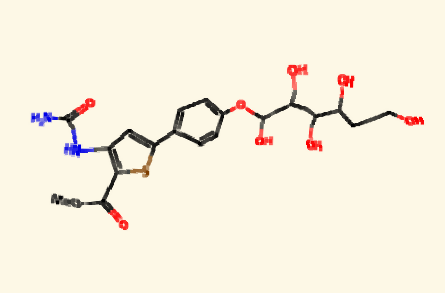 COC(=O)c1sc(-c2ccc(OC(O)C(O)C(O)C(O)CCO)cc2)cc1NC(N)=O